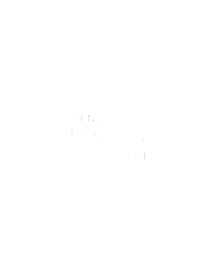 C[C@H]1C(CCS(=O)O)CCC1(N)C(=O)O